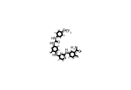 Cc1cc(NC(=O)Nc2ccc(OC(F)(F)F)cc2)ccc1Nc1ccnc(Nc2ccc(C)c(C(N)=O)c2)n1